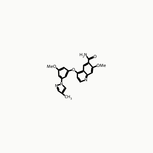 COc1cc(Oc2ccnc3cc(OC)c(C(N)=O)cc23)cc(-n2cc(C)cn2)c1